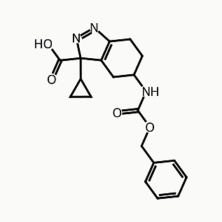 O=C(NC1CCC2=C(C1)C(C(=O)O)(C1CC1)N=N2)OCc1ccccc1